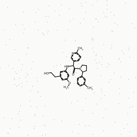 COc1cc(CCO)cc(NC(C(=O)N2CCCC2c2cccc(C)c2)c2ccc(C)nc2)c1